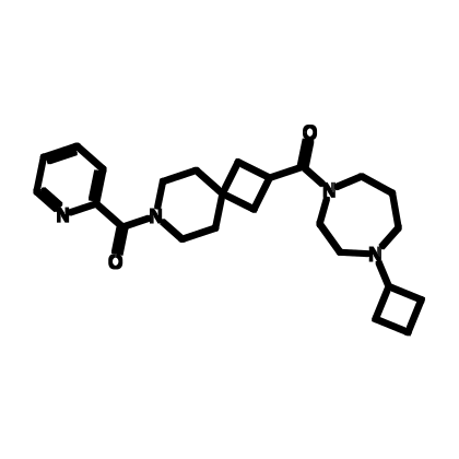 O=C(c1ccccn1)N1CCC2(CC1)CC(C(=O)N1CCCN(C3CCC3)CC1)C2